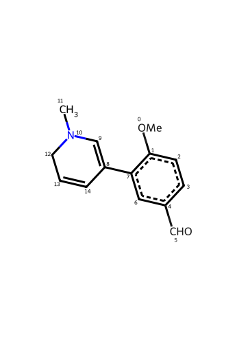 COc1ccc(C=O)cc1C1=CN(C)CC=C1